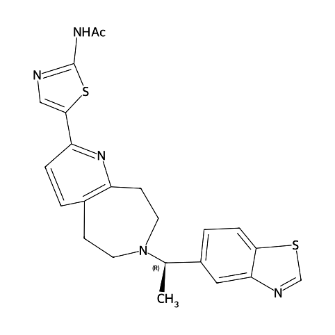 CC(=O)Nc1ncc(-c2ccc3c(n2)CCN([C@H](C)c2ccc4scnc4c2)CC3)s1